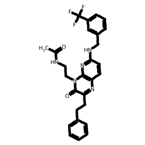 CC(=O)NCCn1c(=O)c(CCc2ccccc2)nc2ccc(NCc3cccc(C(F)(F)F)c3)nc21